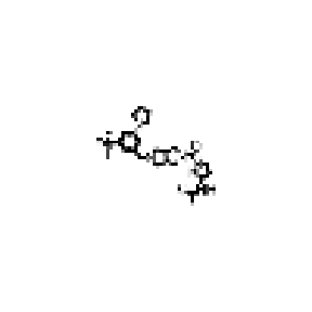 CC(=O)Nc1ccn(C(=O)N2CC3CN(Cc4cc(N5CCCC5)cc(C(F)(F)F)c4)CC3C2)n1